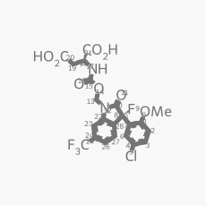 COc1ccc(Cl)cc1[C@]1(F)C(=O)N(COC(=O)N[C@@H](CC(=O)O)C(=O)O)c2cc(C(F)(F)F)ccc21